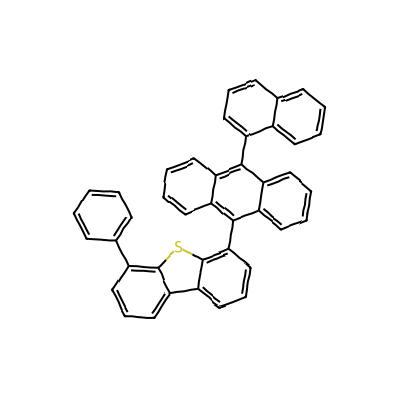 c1ccc(-c2cccc3c2sc2c(-c4c5ccccc5c(-c5cccc6ccccc56)c5ccccc45)cccc23)cc1